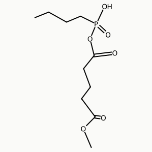 CCCCP(=O)(O)OC(=O)CCCC(=O)OC